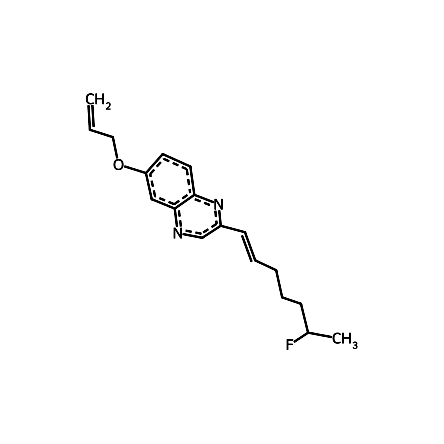 C=CCOc1ccc2nc(C=CCCCC(C)F)cnc2c1